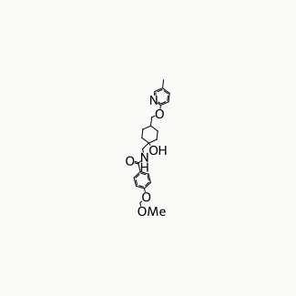 COCOc1ccc(C(=O)NCC2(O)CCC(COc3ccc(C)cn3)CC2)cc1